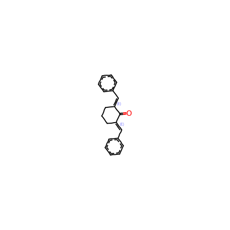 O=C1/C(=C/c2ccccc2)CCC/C1=C\c1ccccc1